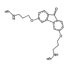 CCCNCCCOc1ccc2c(c1)-c1cc(OCCCNCCC)ccc1C2=O